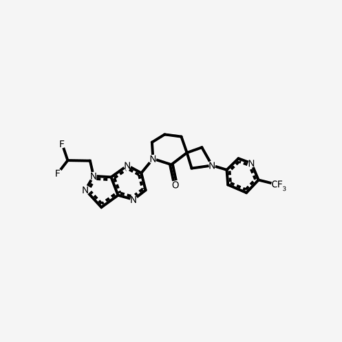 O=C1N(c2cnc3cnn(CC(F)F)c3n2)CCCC12CN(c1ccc(C(F)(F)F)nc1)C2